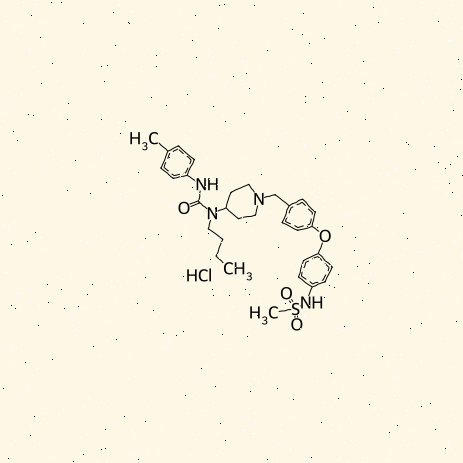 CCCCN(C(=O)Nc1ccc(C)cc1)C1CCN(Cc2ccc(Oc3ccc(NS(C)(=O)=O)cc3)cc2)CC1.Cl